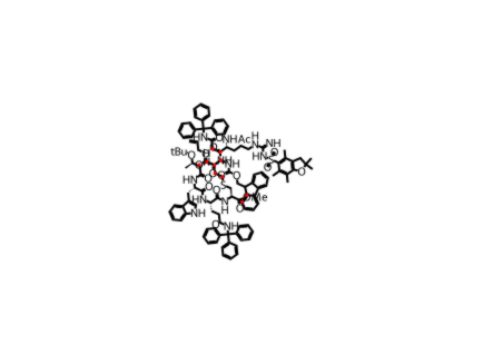 C=CCOC(=O)[C@H](CCSC[C@H](NC(=O)[C@H](CCC(=O)NC(c1ccccc1)(c1ccccc1)c1ccccc1)NC(=O)[C@H](Cc1c[nH]c2ccccc12)NC(=O)[C@@H](NC(=O)[C@H](CCC(=O)NC(c1ccccc1)(c1ccccc1)c1ccccc1)NC(=O)OCC1c2ccccc2-c2ccccc21)[C@@H](C)OC(C)(C)C)C(=O)OC)NC(=O)[C@@H](CCCNC(=N)NS(=O)(=O)c1c(C)c(C)c2c(c1C)CC(C)(C)O2)NC(C)=O